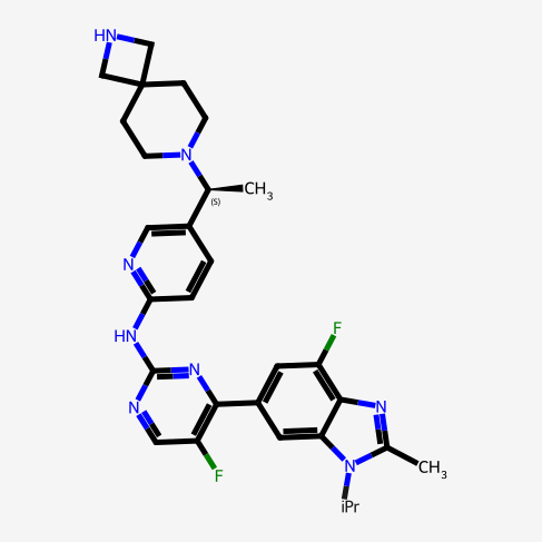 Cc1nc2c(F)cc(-c3nc(Nc4ccc([C@H](C)N5CCC6(CC5)CNC6)cn4)ncc3F)cc2n1C(C)C